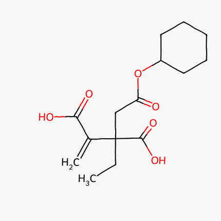 C=C(C(=O)O)C(CC)(CC(=O)OC1CCCCC1)C(=O)O